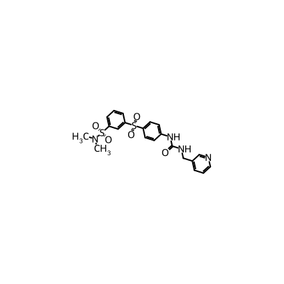 CN(C)S(=O)(=O)c1cccc(S(=O)(=O)c2ccc(NC(=O)NCc3cccnc3)cc2)c1